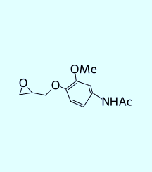 COc1cc(NC(C)=O)ccc1OCC1CO1